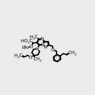 C=CCOC1(C)CCN(c2c(C(OC(C)(C)C)C(=O)O)c(C)nc3cc(COCc4ccccc4CC=C)nn23)CC1